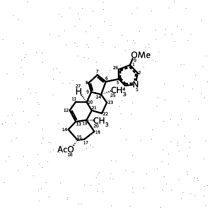 COc1cncc(C2=CC=C3[C@@H]4CC=C5C[C@@H](OC(C)=O)CC[C@]5(C)C4CC[C@]23C)c1